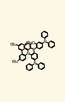 CC(C)(C)c1cc(-c2cc(C(C)(C)C)ccc2N2c3cc(N(c4ccccc4)c4ccccc4)ccc3B3c4ccc(N(c5ccccc5)c5ccccc5)cc4Oc4cccc2c43)cc(C(C)(C)C)c1